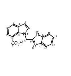 O=C(O)c1cccc2ccn(Cc3nc4ccccc4o3)c12